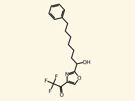 O=C(c1coc(C(O)CCCCCCc2ccccc2)n1)C(F)(F)F